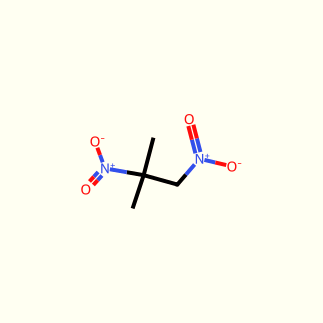 CC(C)(C[N+](=O)[O-])[N+](=O)[O-]